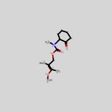 CO/C(COC(=O)N(C)C1CCCCC1=O)=C(/C)OC=O